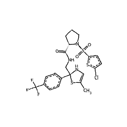 CC1=CNC(CNC(=O)[C@@H]2CCCN2S(=O)(=O)c2ccc(Cl)s2)(c2ccc(C(F)(F)F)cc2)S1